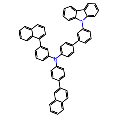 c1cc(-c2cccc3ccccc23)cc(N(c2ccc(-c3cccc(-n4c5ccccc5c5ccccc54)c3)cc2)c2ccc(-c3ccc4ccccc4c3)cc2)c1